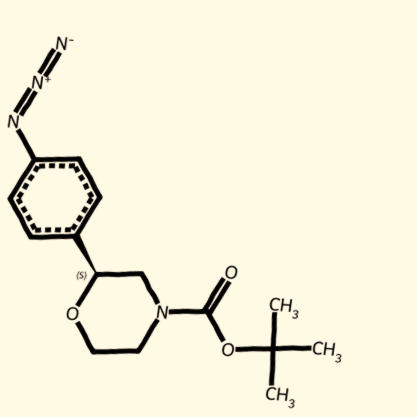 CC(C)(C)OC(=O)N1CCO[C@@H](c2ccc(N=[N+]=[N-])cc2)C1